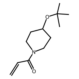 C=CC(=O)N1CCC(OC(C)(C)C)CC1